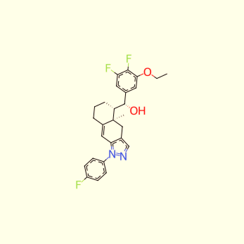 CCOc1cc([C@H](O)[C@H]2CCCC3=Cc4c(cnn4-c4ccc(F)cc4)C[C@@]32C)cc(F)c1F